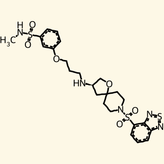 CNS(=O)(=O)c1cccc(OCCCN[C@H]2COC3(CCN(S(=O)(=O)c4cccc5nsnc45)CC3)C2)c1